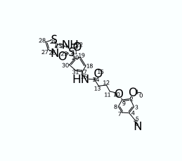 COc1cc(C#N)ccc1OCCCC(=O)Nc1ccc(S(=O)(=O)Nc2nccs2)cc1